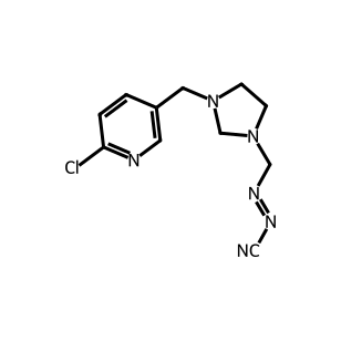 N#CN=NCN1CCN(Cc2ccc(Cl)nc2)C1